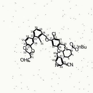 CCCCOC(=O)[C@@H]1CCCCN1Cc1cc(Cl)c(OCc2cccc(-c3ccc4c(c3)OC(CC=O)CO4)c2C)cc1OCc1cncc(C#N)c1